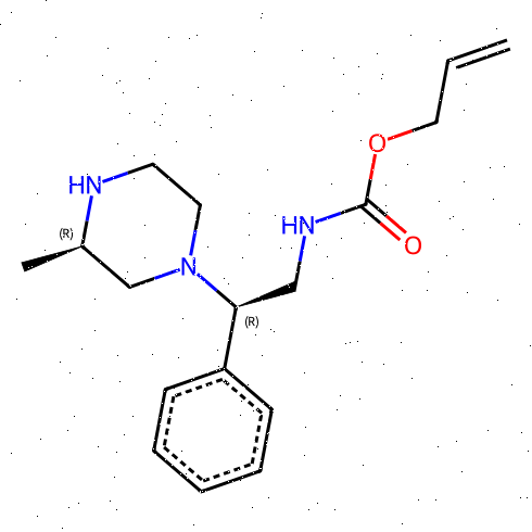 C=CCOC(=O)NC[C@@H](c1ccccc1)N1CCN[C@H](C)C1